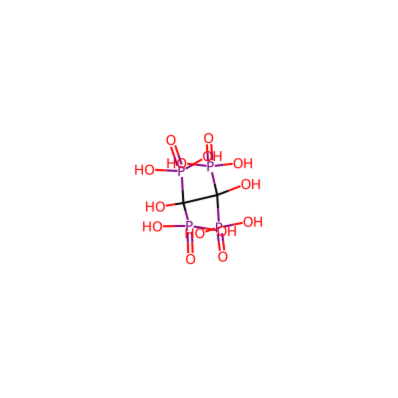 O=P(O)(O)C(O)(C(O)(P(=O)(O)O)P(=O)(O)O)P(=O)(O)O